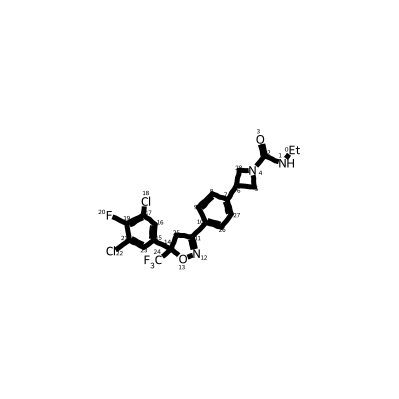 CCNC(=O)N1CC(c2ccc(C3=NOC(c4cc(Cl)c(F)c(Cl)c4)(C(F)(F)F)C3)cc2)C1